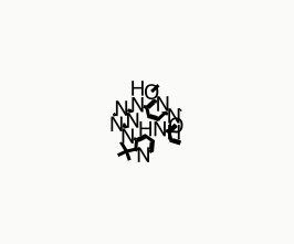 C=CC(=O)Nc1cc(Nc2ncnc(N3CC(C)(C)c4ncccc43)n2)c(OC)nc1NC